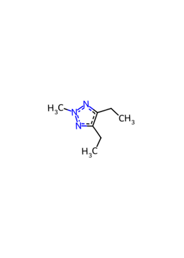 CCc1nn(C)nc1CC